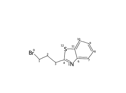 BrCCCc1nc2ccccc2s1